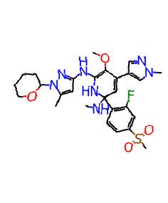 CNC1(c2ccc(S(C)(=O)=O)cc2F)C=C(c2cnn(C)c2)C(OC)=C(Nc2cc(C)n(C3CCCCO3)n2)N1